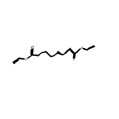 C=COC(=O)CCCCCCC(=O)OC=C